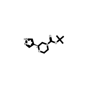 CC(C)(C)OC(=O)N1CCO[C@@H](c2cn[nH]c2)C1